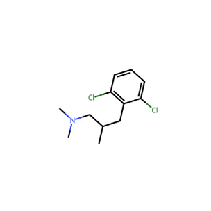 CC(Cc1c(Cl)[c]ccc1Cl)CN(C)C